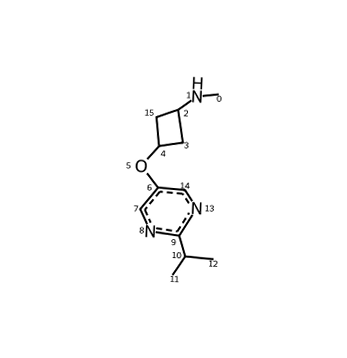 CNC1CC(Oc2cnc(C(C)C)nc2)C1